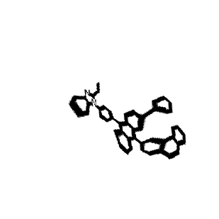 CCc1nc2ccccc2n1-c1ccc(-c2c3ccccc3c(-c3ccc4ccc5ccccc5c4c3)c3cc(-c4ccccc4)ccc23)cc1